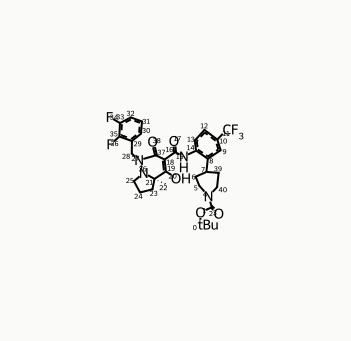 CC(C)(C)OC(=O)N1CCC(c2cc(C(F)(F)F)ccc2NC(=O)C2=C(O)[C@@]3(C)CCCN3N(Cc3cccc(F)c3F)C2=O)CC1